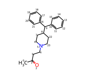 CC(=O)CCN1CCC(C(c2ccccc2)c2ccccc2)CC1